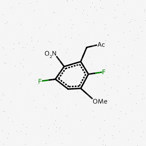 COc1cc(F)c([N+](=O)[O-])c(CC(C)=O)c1F